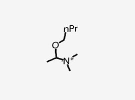 CCCCOC(C)[N+](C)C